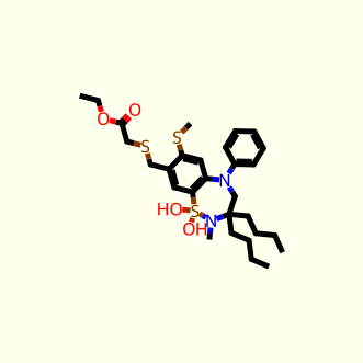 CCCCC1(CCCC)CN(c2ccccc2)c2cc(SC)c(CSCC(=O)OCC)cc2S(O)(O)N1C